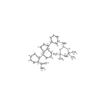 CC1(C)CC(Nc2nccc(-n3ccc4c(-c5ccccc5C(N)=O)cccc43)n2)CC(C)(C)N1